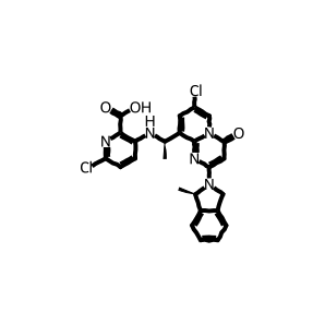 C[C@@H]1c2ccccc2CN1c1cc(=O)n2cc(Cl)cc([C@@H](C)Nc3ccc(Cl)nc3C(=O)O)c2n1